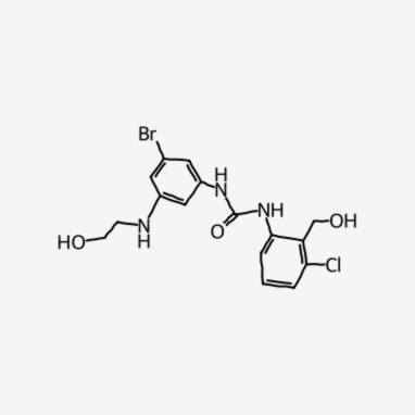 O=C(Nc1cc(Br)cc(NCCO)c1)Nc1cccc(Cl)c1CO